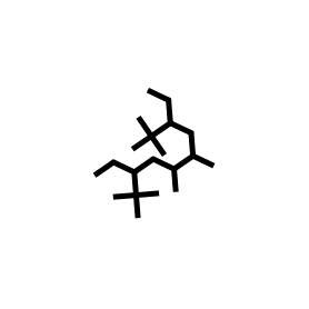 CCC(CC(C)C(C)CC(CC)C(C)(C)C)C(C)(C)C